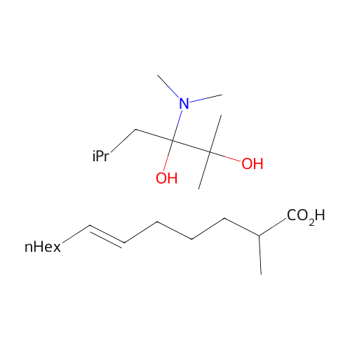 CC(C)CC(O)(N(C)C)C(C)(C)O.CCCCCCC=CCCCC(C)C(=O)O